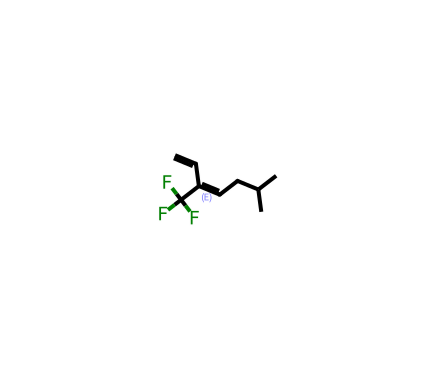 C=C/C(=C\CC(C)C)C(F)(F)F